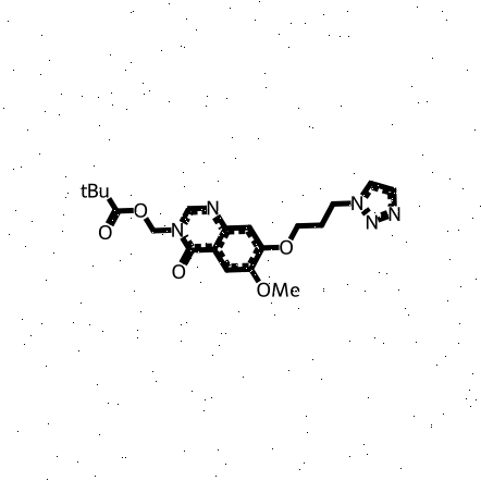 COc1cc2c(=O)n(COC(=O)C(C)(C)C)cnc2cc1OCCCn1ccnn1